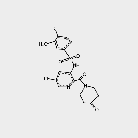 Cc1cc(S(=O)(=O)Nc2cc(Cl)cnc2C(=O)N2CCC(=O)CC2)ccc1Cl